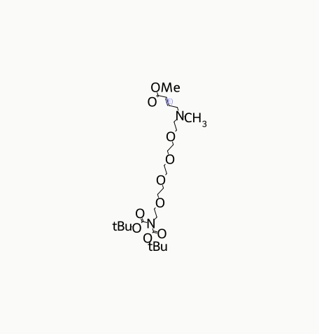 COC(=O)/C=C/CN(C)CCOCCOCCOCCOCCN(C(=O)OC(C)(C)C)C(=O)OC(C)(C)C